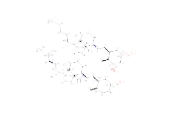 C=C1/C(=C\C=C2/CCC[C@]3(C)[C@@H]([C@H](C)CCCC(C)C)CC[C@@H]23)C[C@@H](O)C[C@@H]1O.C=C1CC[C@H](O)C/C1=C/C=C1\CCC[C@]2(C)[C@@H]([C@H](C)/C=C/[C@H](C)C(C)C)CC[C@@H]12